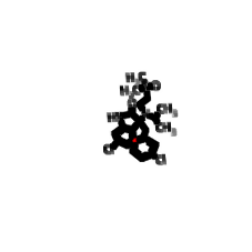 C=S(C)(=O)CCN(C(C)C)C1(Cc2cccc(Cl)c2)C(=O)Nc2cc(Cl)ccc21